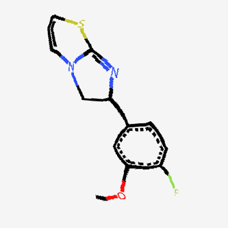 COc1cc(C2CN3C=CSC3=N2)ccc1F